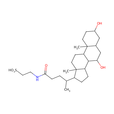 CC(CCC(=O)NCCS(=O)(=O)O)C1CCC2C3C(O)CC4CC(O)CCC4(C)C3CCC12C